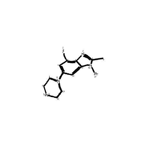 Cc1nc2c(F)cc(N3CCNCC3)cc2n1C(C)C